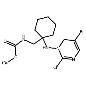 CC(C)(C)OC(=O)NCC1(NN2CC(Br)=CN=C2Cl)CCCCC1